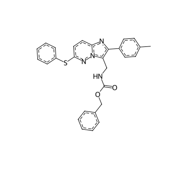 Cc1ccc(-c2nc3ccc(Sc4ccccc4)nn3c2CNC(=O)OCc2ccccc2)cc1